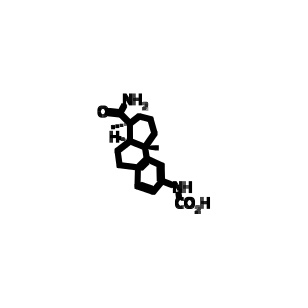 C[C@]1(C(N)=O)CCC[C@]2(C)c3cc(NC(=O)O)ccc3CC[C@@H]12